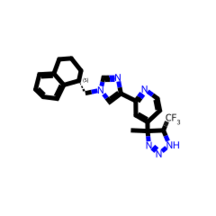 CC1(c2ccnc(-c3cn(C[C@H]4CCCc5ccccc54)cn3)c2)N=NNC1C(F)(F)F